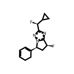 F[C@H](c1nc2n(n1)[C@H](C1=CC=CCC1)C[C@@H]2F)C1CC1